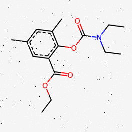 CCOC(=O)c1cc(C)cc(C)c1OC(=O)N(CC)CC